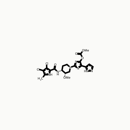 COC(=O)Oc1sc(N2CC[C@@H](NC(=O)c3[nH]c(C)c(Cl)c3Cl)[C@@H](OC)C2)nc1-c1ccn[nH]1